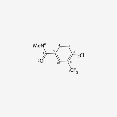 [CH2-][NH2+]C(=O)c1ccc(Cl)c(C(F)(F)F)c1